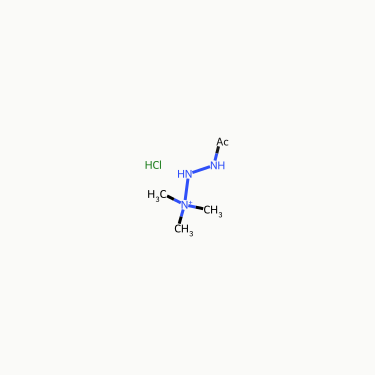 CC(=O)NN[N+](C)(C)C.Cl